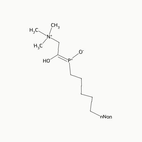 CCCCCCCCCCCCCC/[P+]([O-])=C(\O)C[N+](C)(C)C